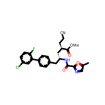 COC(=O)[C@H](CCC#N)C[C@@H](Cc1ccc(-c2cc(Cl)ccc2F)cc1)NC(=O)c1ncc(C)o1